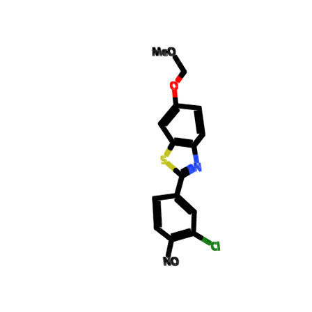 COCOc1ccc2nc(-c3ccc(N=O)c(Cl)c3)sc2c1